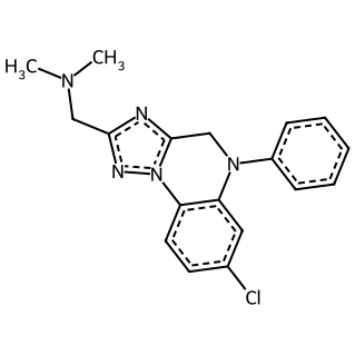 CN(C)Cc1nc2n(n1)-c1ccc(Cl)cc1N(c1ccccc1)C2